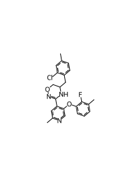 Cc1ccc(CC2CON=C(c3cc(C)ncc3Oc3cccc(C)c3F)N2)c(Cl)c1